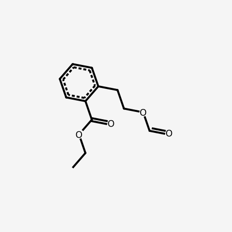 CCOC(=O)c1ccccc1CCOC=O